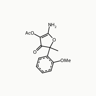 COc1ccccc1C1(C)OC(N)=C(OC(C)=O)C1=O